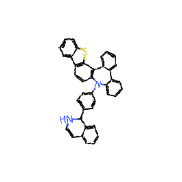 C1=Cc2ccccc2C(c2ccc(N3c4ccccc4-c4ccccc4-c4c3ccc3c4sc4ccccc43)cc2)N1